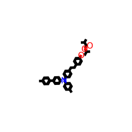 Cc1ccc(-c2ccc(N(c3ccc(C)cc3)c3ccc(CCc4ccc(OCC(C)OC(=O)C(C)C)cc4)cc3)cc2)cc1